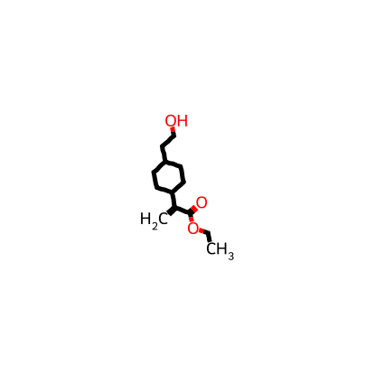 C=C(C(=O)OCC)C1CCC(CCO)CC1